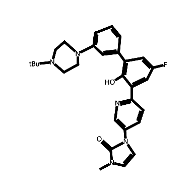 Cn1ccn(-c2ccc(-c3cc(F)cc(-c4cccc(N5CCN(C(C)(C)C)CC5)c4)c3O)nc2)c1=O